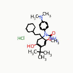 COC1=CC(C(C)(C)C)=C(O)CC1(CCC1CCCCC1)N(C(N)=O)c1ccc(N(C)C)cc1.Cl